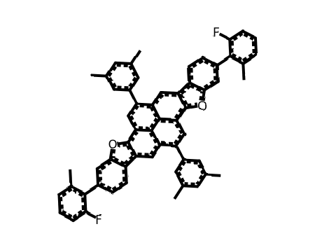 Cc1cc(C)cc(-c2cc3c4oc5cc(-c6c(C)cccc6F)ccc5c4cc4c(-c5cc(C)cc(C)c5)cc5c6oc7cc(-c8c(C)cccc8F)ccc7c6cc2c5c43)c1